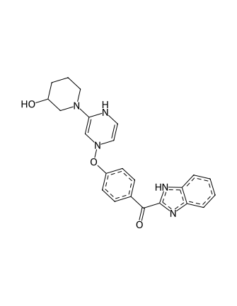 O=C(c1ccc(ON2C=CNC(N3CCCC(O)C3)=C2)cc1)c1nc2ccccc2[nH]1